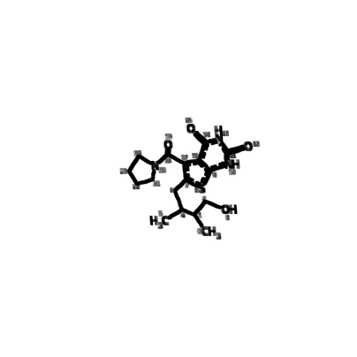 CC(CO)C(C)Cc1sc2[nH]c(=O)[nH]c(=O)c2c1C(=O)N1CCCC1